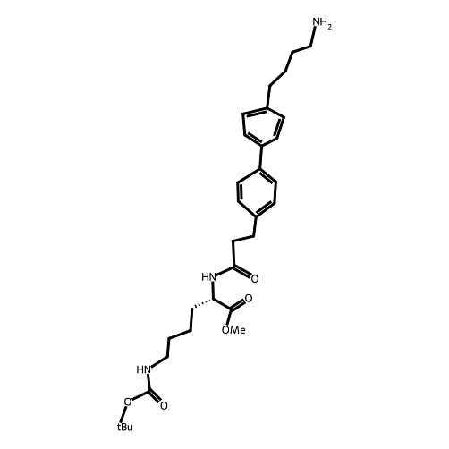 COC(=O)[C@H](CCCCNC(=O)OC(C)(C)C)NC(=O)CCc1ccc(-c2ccc(CCCCN)cc2)cc1